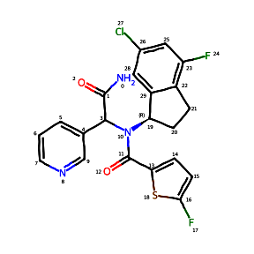 NC(=O)C(c1cccnc1)N(C(=O)c1ccc(F)s1)[C@@H]1CCc2c(F)cc(Cl)cc21